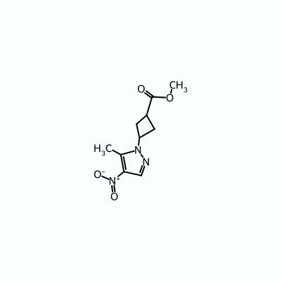 COC(=O)C1CC(n2ncc([N+](=O)[O-])c2C)C1